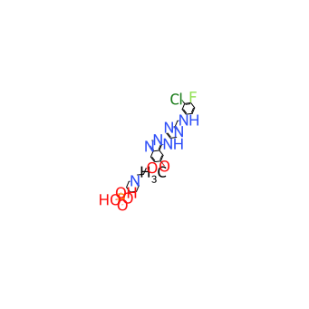 COc1cc2c(Nc3cnc(CNc4ccc(F)c(Cl)c4)nc3)ncnc2cc1OCCCN1CCC(OP(=O)(O)O)CC1